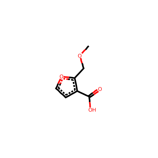 COCc1occc1C(=O)O